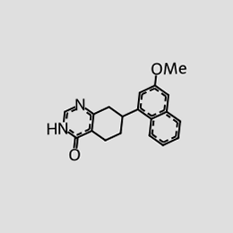 COc1cc(C2CCc3c(nc[nH]c3=O)C2)c2ccccc2c1